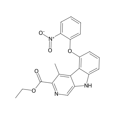 CCOC(=O)c1ncc2[nH]c3cccc(Oc4ccccc4[N+](=O)[O-])c3c2c1C